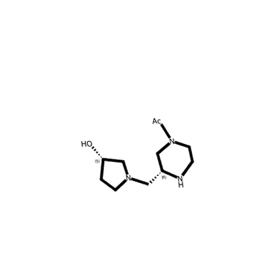 CC(=O)N1CCN[C@H](CN2CC[C@H](O)C2)C1